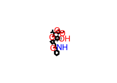 COc1coc(C(C(=O)C2C[C@H](O)C[C@H]2C2=CC=CC2CC(=O)C(=N)c2ccccc2)C(C)C)c1